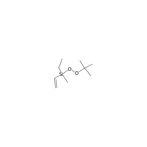 C=C[Si](C)(CC)OOC(C)(C)C